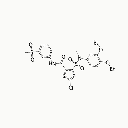 CCOc1ccc(N(C)S(=O)(=O)c2cc(Cl)sc2C(=O)Nc2cccc(S(C)(=O)=O)c2)cc1OCC